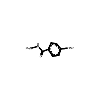 CNNC(=O)c1ccc(OC)cc1